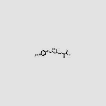 CCC(=O)NCCNCC(O)COc1ccc(O)cc1